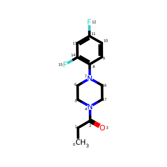 CCC(=O)N1CCN(c2ccc(F)cc2F)CC1